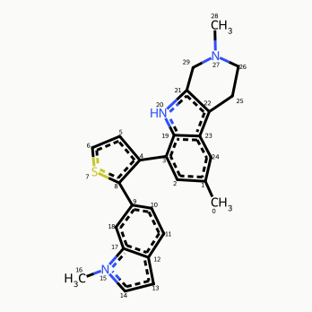 Cc1cc(-c2ccsc2-c2ccc3ccn(C)c3c2)c2[nH]c3c(c2c1)CCN(C)C3